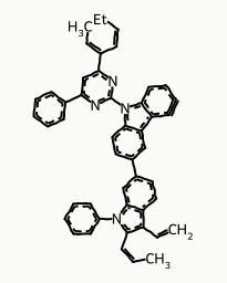 C=Cc1c(/C=C\C)n(-c2ccccc2)c2cc(-c3ccc4c(c3)c3c#cccc3n4-c3nc(C(/C=C\CC)=C/C)cc(-c4ccccc4)n3)ccc12